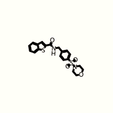 O=C(NCc1ccc(S(=O)(=O)N2CCOCC2)cc1)c1cc2ccccc2s1